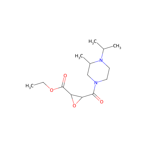 CCOC(=O)C1OC1C(=O)N1CCN(C(C)C)C(C)C1